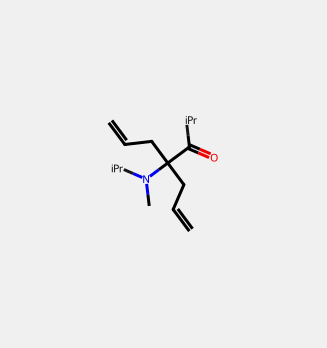 C=CCC(CC=C)(C(=O)C(C)C)N(C)C(C)C